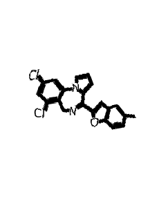 Cc1ccc2oc(C3=NCc4c(Cl)cc(Cl)cc4-n4cccc43)cc2c1